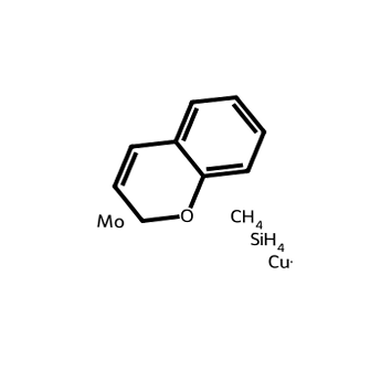 C.C1=Cc2ccccc2OC1.[Cu].[Mo].[SiH4]